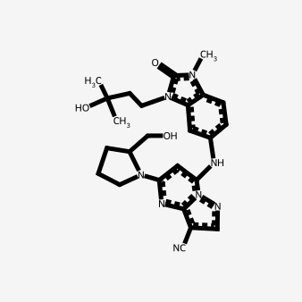 Cn1c(=O)n(CCC(C)(C)O)c2cc(Nc3cc(N4CCCC4CO)nc4c(C#N)cnn34)ccc21